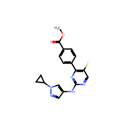 COC(=O)c1ccc(-c2nc(Nc3cnn(C4CC4)c3)ncc2F)cc1